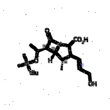 CC(O[Si](C)(C)C(C)(C)C)[C@H]1C(=O)N2C(C(=O)O)C(/C=C/CO)[C@H](C)[C@H]12